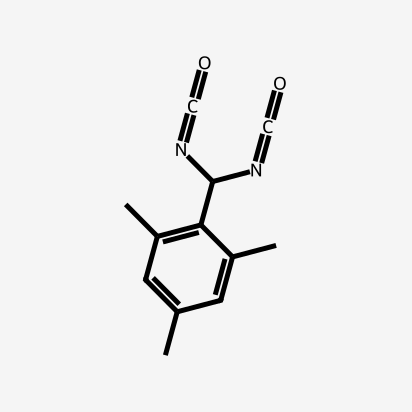 Cc1cc(C)c(C(N=C=O)N=C=O)c(C)c1